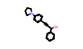 OC(C#Cc1ccc(N2CCCC2)cc1)c1ccccc1